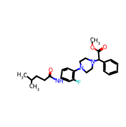 COC(=O)C(c1ccccc1)N1CCN(c2ccc(NC(=O)CCC(C)C)cc2F)CC1